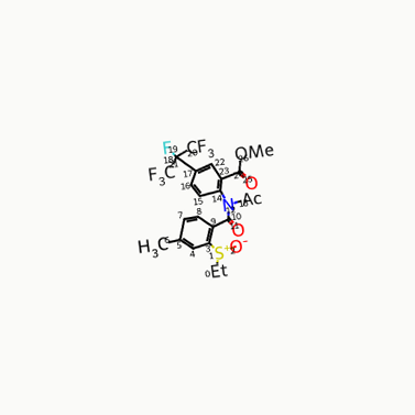 CC[S+]([O-])c1cc(C)ccc1C(=O)N(C(C)=O)c1ccc(C(F)(C(F)(F)F)C(F)(F)F)cc1C(=O)OC